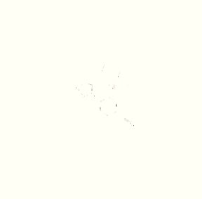 CC(=O)CC(=O)O.CCOc1cc(-n2ccnc2C2CCCCC2)c(N)cc1C#N